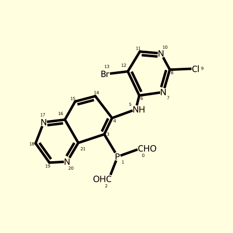 O=CP(C=O)c1c(Nc2nc(Cl)ncc2Br)ccc2nccnc12